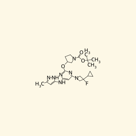 Cc1cc(Nc2cc(N3CC(F)(C4CC4)C3)nc(OC3CCN(C(=O)OC(C)(C)C)C3)n2)[nH]n1